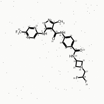 Cc1nsc(Nc2cnc(C(F)(F)F)cn2)c1C(=O)Nc1ccc(C(=O)NC2CN(CC(F)F)C2)cc1